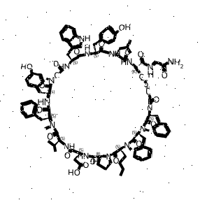 CCCC[C@H]1C(=O)N2CCC[C@@H]2C(=O)N[C@@H](CC(=O)O)C(=O)N[C@@H](C(C)C)C(=O)N(C)[C@@H](Cc2ccccc2)C(=O)N[C@@H](Cc2ccc(O)cc2)C(=O)N(C)CC(=O)N[C@@H](Cc2c[nH]c3ccccc23)C(=O)N[C@@H](Cc2ccc(O)cc2)C(=O)N[C@@H](CC(C)C)C(=O)N[C@H](C(=O)NCC(N)=O)CSCC(=O)N[C@@H](Cc2ccccc2)C(=O)N(C)[C@@H](Cc2ccccc2)C(=O)N1C